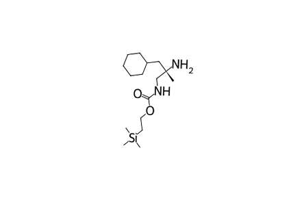 C[C@@](N)(CNC(=O)OCC[Si](C)(C)C)CC1CCCCC1